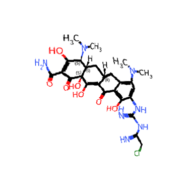 CN(C)c1cc(NC(=N)NC(=N)CCl)c(O)c2c1C[C@H]1C[C@H]3[C@H](N(C)C)C(O)=C(C(N)=O)C(=O)[C@@]3(O)C(O)=C1C2=O